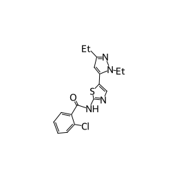 CCc1cc(-c2cnc(NC(=O)c3ccccc3Cl)s2)n(CC)n1